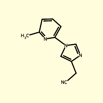 Cc1cccc(-n2cnc(CC#N)c2)n1